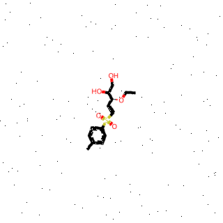 CCO[C@H](C=CS(=O)(=O)c1ccc(C)cc1)C(O)CO